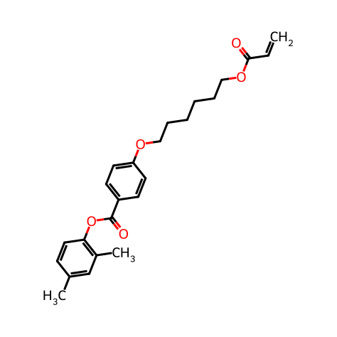 C=CC(=O)OCCCCCCOc1ccc(C(=O)Oc2ccc(C)cc2C)cc1